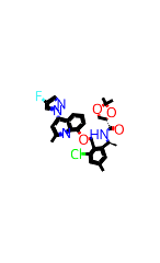 Cc1cc(Cl)c(COc2cccc3c(-n4cc(F)cn4)cc(C)nc23)c([C@H](C)NC(=O)[C@@H]2COC(C)(C)O2)c1